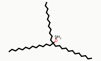 CCCCCCCCCCCCCC(CCCCCCCCCCCC)(CCCCCCCCCCCC)O[SiH3]